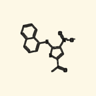 CC(=O)c1cc([N+](=O)[O-])c(Sc2cccc3ccccc23)s1